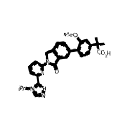 COc1cc(C(C)(C)C(=O)O)ccc1-c1ccc2c(c1)C(=O)N(c1cccc(-c3nncn3C(C)C)n1)C2